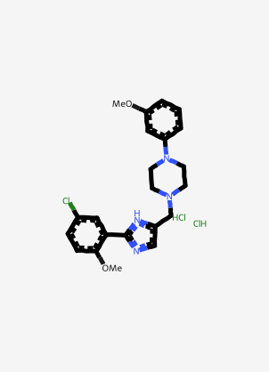 COc1cccc(N2CCN(Cc3cnc(-c4cc(Cl)ccc4OC)[nH]3)CC2)c1.Cl.Cl